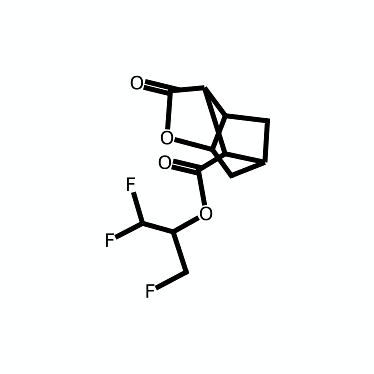 O=C(OC(CF)C(F)F)C1C2CC3OC(=O)C1C3C2